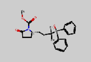 CC(C)(C)OC(=O)N1C(=O)CC[C@H]1CCC(C)(C)[Si](O)(c1ccccc1)c1ccccc1